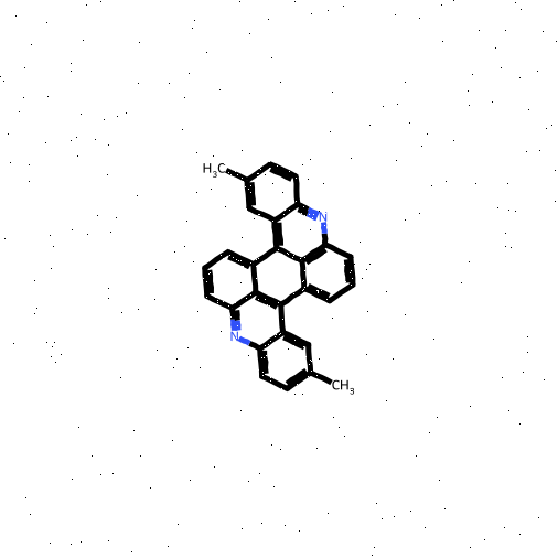 Cc1ccc2nc3cccc4c3c(c2c1)c1cccc2nc3ccc(C)cc3c4c21